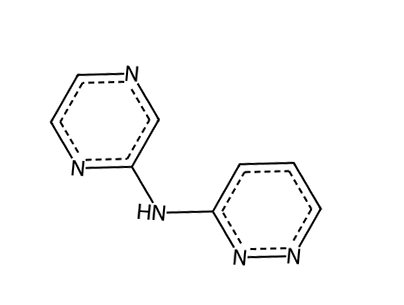 c1cnnc(Nc2cnccn2)c1